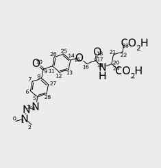 CN(C)/N=N/c1ccc(C(=O)c2ccc(OCC(=O)NC(CCC(=O)O)C(=O)O)cc2)cc1